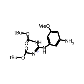 COc1cc(N)cc(N/C(=N/C(=O)OC(C)(C)C)NC(=O)OC(C)(C)C)c1